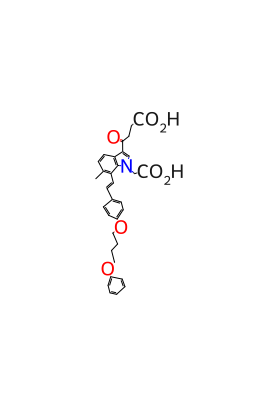 Cc1ccc2c(C(=O)CCC(=O)O)cn(CC(=O)O)c2c1C=Cc1ccc(OCCCCOc2ccccc2)cc1